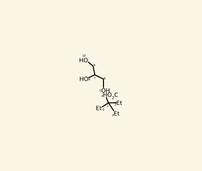 CCC(CC)(CC)C(=O)O.OCC(O)CO